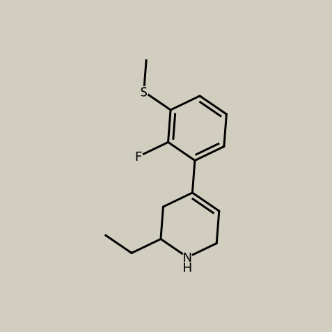 CCC1CC(c2cccc(SC)c2F)=CCN1